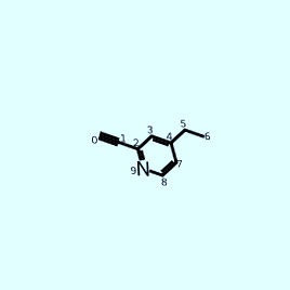 C#Cc1cc(CC)ccn1